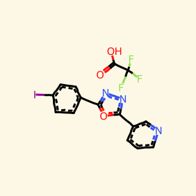 Ic1ccc(-c2nnc(-c3cccnc3)o2)cc1.O=C(O)C(F)(F)F